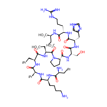 CC(C)C[C@H](NC(=O)[C@@H](NC(=O)[C@H](CCCCN)NC(=O)[C@@H](N)CC(C)C)C(C)C)C(=O)N[C@@H](CC(=O)O)C(=O)N1CCC[C@H]1C(=O)N[C@@H](CO)C(=O)N[C@@H](Cc1c[nH]cn1)C(=O)N[C@@H](CCCNC(=N)N)C(=O)N[C@@H](CC(=O)O)C(=O)O